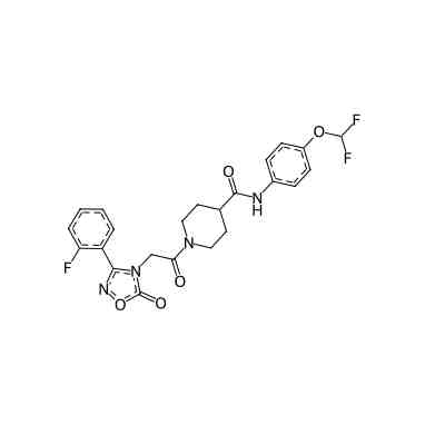 O=C(Nc1ccc(OC(F)F)cc1)C1CCN(C(=O)Cn2c(-c3ccccc3F)noc2=O)CC1